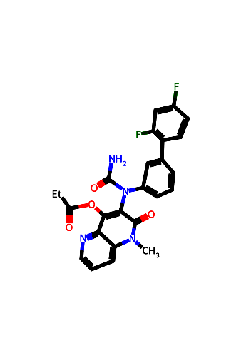 CCC(=O)Oc1c(N(C(N)=O)c2cccc(-c3ccc(F)cc3F)c2)c(=O)n(C)c2cccnc12